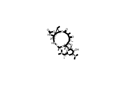 CC[C@H]1OC(=O)C(C)C(=O)[C@H](C)[C@@H](O[C@@H]2O[C@H]([C@H](C)N(C)C)C[C@H](N(C)C)[C@H]2O)[C@](C)(OC)C[C@@H](C)CN[C@H](C)[C@H]2NC(=O)O[C@@]21C